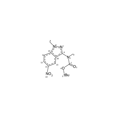 CN(C(=O)OC(C)(C)C)c1nn(C)c2ccc([N+](=O)[O-])cc12